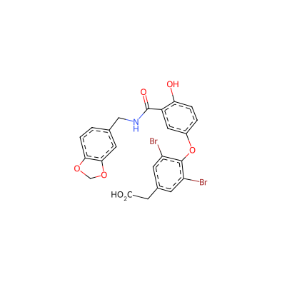 O=C(O)Cc1cc(Br)c(Oc2ccc(O)c(C(=O)NCc3ccc4c(c3)OCO4)c2)c(Br)c1